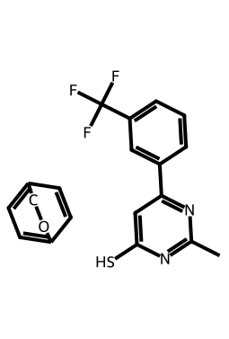 Cc1nc(S)cc(-c2cccc(C(F)(F)F)c2)n1.c1cc2ccc1CO2